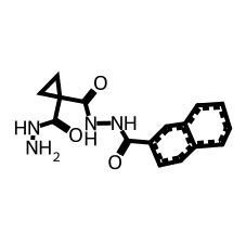 NNC(=O)C1(C(=O)NNC(=O)c2ccc3ccccc3c2)CC1